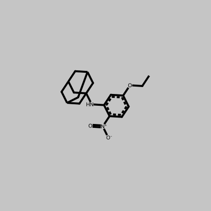 CCOc1ccc([N+](=O)[O-])c(NC23CC4CC(CC(C4)C2)C3)c1